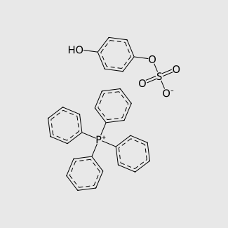 O=S(=O)([O-])Oc1ccc(O)cc1.c1ccc([P+](c2ccccc2)(c2ccccc2)c2ccccc2)cc1